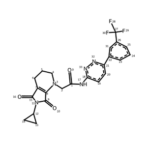 O=C(CN1CCCC2=C1C(=O)N(C1CC1)C2=O)Nc1ccc(-c2cccc(C(F)(F)F)c2)nn1